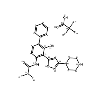 O=C(Nc1ccc(-c2ccccc2)c(O)c1-c1cc(N2CCNCC2)no1)C(F)F.O=C(O)C(F)(F)F